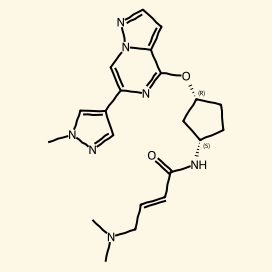 CN(C)CC=CC(=O)N[C@H]1CC[C@@H](Oc2nc(-c3cnn(C)c3)cn3nccc23)C1